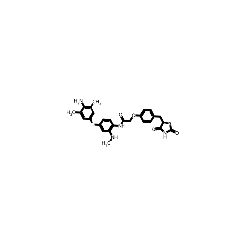 CNc1cc(Oc2cc(C)c(N)c(C)c2)ccc1NC(=O)COc1ccc(CC2SC(=O)NC2=O)cc1